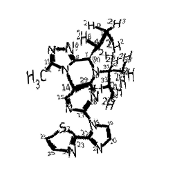 [2H]C([2H])([2H])C([2H])([2H])[C@@H]1c2nnc(C)n2-c2cnc(-n3ccnc3-c3nccs3)nc2N1C([2H])(C([2H])([2H])[2H])C([2H])([2H])[2H]